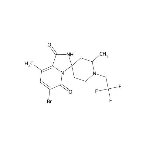 Cc1cc(Br)c(=O)n2c1C(=O)NC21CCN(CC(F)(F)F)C(C)C1